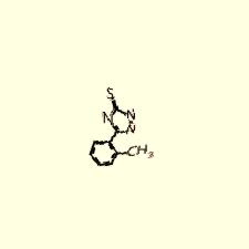 Cc1ccccc1C1=NC(=S)N=N1